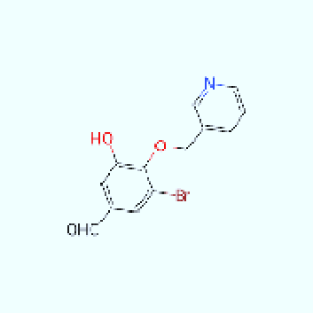 O=Cc1cc(O)c(OCc2cccnc2)c(Br)c1